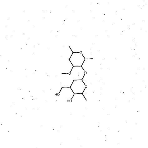 COC1CC(C)OC(C)C1OC1CC(CO)C(O)C(C)O1